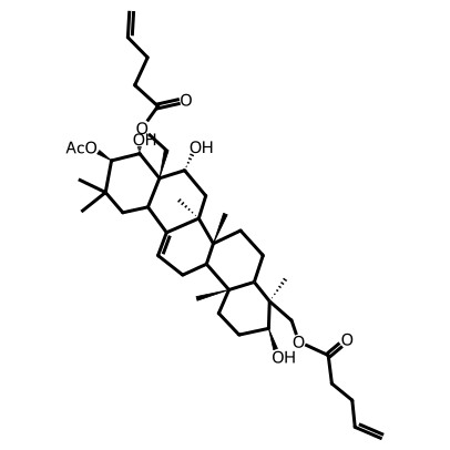 C=CCCC(=O)OC[C@@]12C(CC(C)(C)[C@@H](OC(C)=O)[C@@H]1O)C1=CCC3[C@@]4(C)CC[C@H](O)[C@](C)(COC(=O)CCC=C)C4CC[C@@]3(C)[C@]1(C)C[C@H]2O